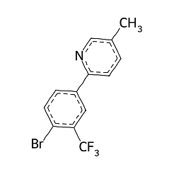 Cc1ccc(-c2ccc(Br)c(C(F)(F)F)c2)nc1